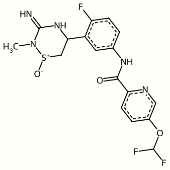 CN1C(=N)NC(c2cc(NC(=O)c3ccc(OC(F)F)cn3)ccc2F)C[S+]1[O-]